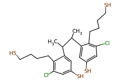 CC(c1cc(S)cc(Cl)c1CCCCS)C(C)c1cc(S)cc(Cl)c1CCCCS